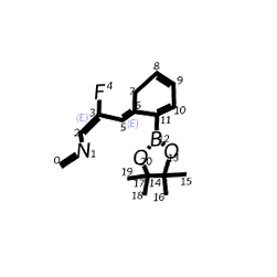 C=N/C=C(F)\C=C1/CC=CC=C1B1OC(C)(C)C(C)(C)O1